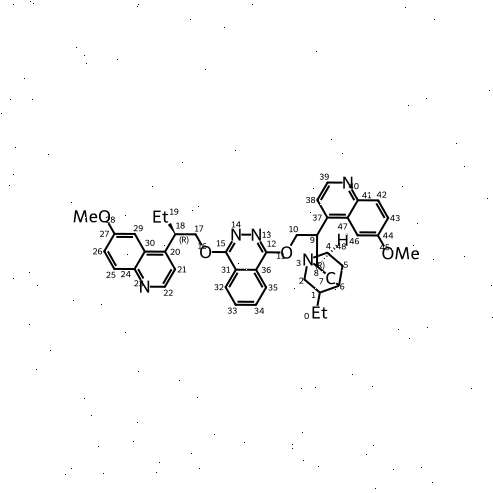 CCC1CN2CCC1C[C@@H]2C(COc1nnc(OC[C@H](CC)c2ccnc3ccc(OC)cc23)c2ccccc12)c1ccnc2ccc(OC)cc12